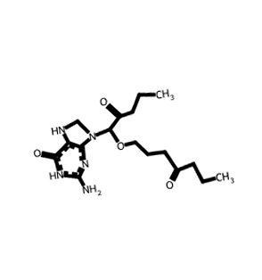 CCCC(=O)CCCOC(C(=O)CCC)N1CNc2c1nc(N)[nH]c2=O